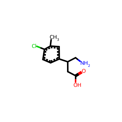 Cc1cc(C(CN)CC(=O)O)ccc1Cl